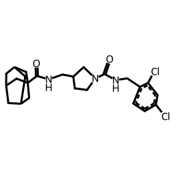 O=C(NCc1ccc(Cl)cc1Cl)N1CCC(CNC(=O)C23CC4CC(CC(C4)C2)C3)C1